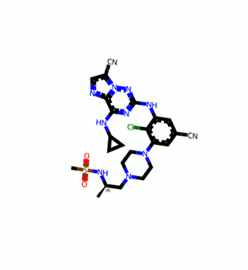 C[C@H](CN1CCN(c2cc(C#N)cc(Nc3nc(NC4CC4)c4ncc(C#N)n4n3)c2Cl)CC1)NS(C)(=O)=O